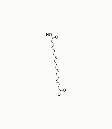 O=C(O)CCSCCSCCCSCCSCCC(=O)O